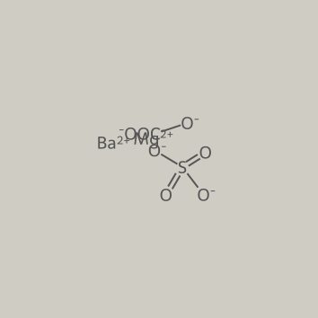 O=C([O-])[O-].O=S(=O)([O-])[O-].[Ba+2].[Mg+2]